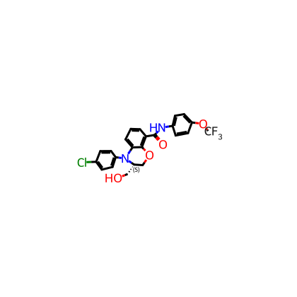 O=C(Nc1ccc(OC(F)(F)F)cc1)c1cccc2c1OC[C@H](CO)N2c1ccc(Cl)cc1